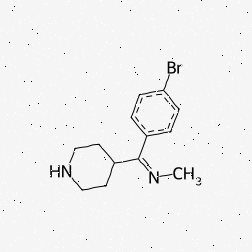 C/N=C(\c1ccc(Br)cc1)C1CCNCC1